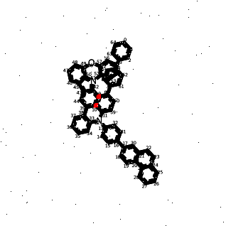 c1ccc(-c2ccc(-c3ccc(N(c4ccc(-c5ccc6c(ccc7ccccc76)c5)cc4)c4ccccc4-c4ccc5c(c4)c4cccc6c4n5-c4ccccc4O6)cc3)cc2)cc1